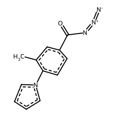 Cc1cc(C(=O)N=[N+]=[N-])ccc1-n1cccc1